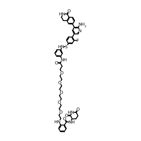 Nc1ncc(-c2ccc(SNc3cccc(NC(=O)CCOCCOCCOCCOCCOCCNc4ccccc4C(=O)NC4CCC(=O)NC4=O)c3)cc2F)cc1-c1ccc2c(c1)CCNC2=O